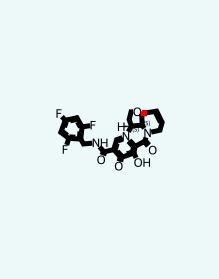 O=C(NCc1c(F)cc(F)cc1F)c1cn2c(c(O)c1=O)C(=O)N1CC=CC[C@]13COCC[C@H]23